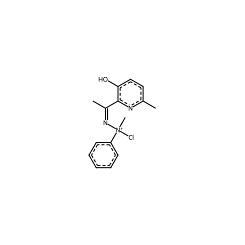 CC(=N[N+](C)(Cl)c1ccccc1)c1nc(C)ccc1O